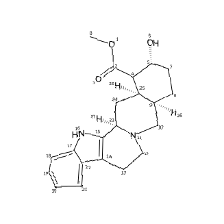 COC(=O)C1[C@H](O)CC[C@H]2CN3CCc4c([nH]c5ccccc45)[C@H]3C[C@@H]12